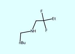 CCCCCNCC(F)(F)CC